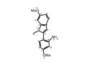 COc1ccc(-c2cc3ccc(OC)cc3n2C)c(N)c1